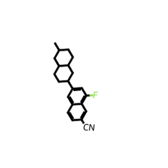 CC1CCC2CC(c3cc(F)c4cc(C#N)ccc4c3)CCC2C1